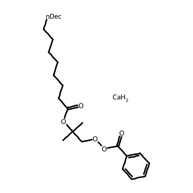 CCCCCCCCCCCCCCCCCC(=O)OC(C)(C)COOC(=O)c1ccccc1.[CaH2]